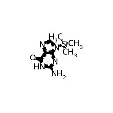 C[Si](C)(C)n1cnc2c(=O)[nH]c(N)nc21